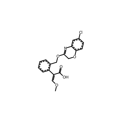 COC=C(C(=O)O)c1ccccc1COC1=Nc2cc(Cl)ccc2OC1